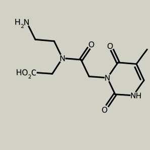 Cc1c[nH]c(=O)n(CC(=O)N(CCN)CC(=O)O)c1=O